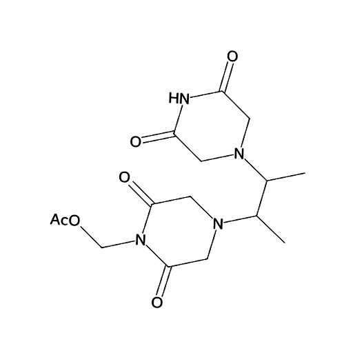 CC(=O)OCN1C(=O)CN(C(C)C(C)N2CC(=O)NC(=O)C2)CC1=O